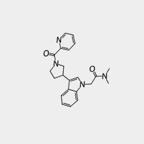 CN(C)C(=O)Cn1cc(C2CCN(C(=O)c3ccccn3)C2)c2ccccc21